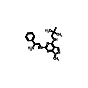 Cn1ncc2c(NCC(C)(C)F)nc(NCC(N)c3ccccc3)nc21